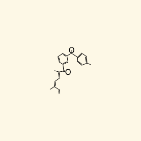 C=C/C(C)=C\C=C(/C)C(=O)c1cccc(C(=O)c2ccc(C)cc2)c1